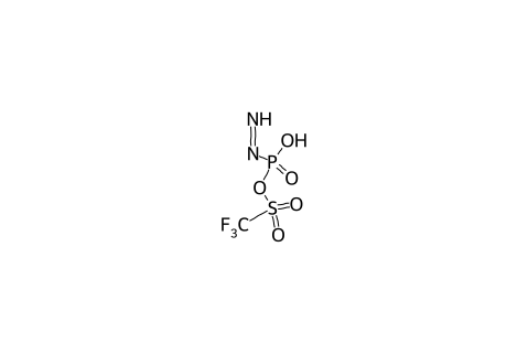 N=NP(=O)(O)OS(=O)(=O)C(F)(F)F